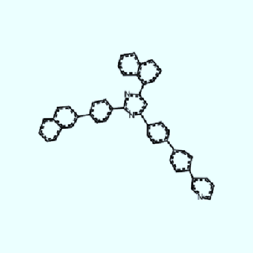 c1cncc(-c2ccc(-c3ccc(-c4cc(-c5cccc6ccccc56)nc(-c5ccc(-c6ccc7ccccc7c6)cc5)n4)cc3)cc2)c1